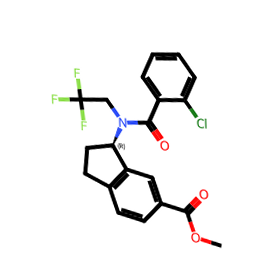 COC(=O)c1ccc2c(c1)[C@H](N(CC(F)(F)F)C(=O)c1ccccc1Cl)CC2